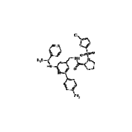 Cc1ccc(-c2cc(CNC(=O)[C@@H]3CCCN3S(=O)(=O)c3ccc(Cl)s3)cc(NC(C)c3ccncc3)n2)cc1